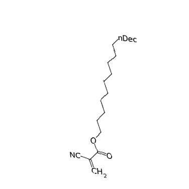 C=C(C#N)C(=O)OCCCCCCCCCCCCCCCCCCCC